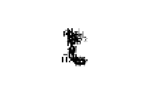 NC(=O)c1sc2nc(N3CCC(NCC(O)c4ccc5ccccc5n4)CC3)cc(C(F)(F)F)c2c1N